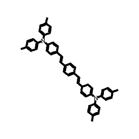 Cc1ccc(N(C2=CCC(/C=C/c3ccc(/C=C/c4ccc(N(c5ccc(C)cc5)c5ccc(C)cc5)cc4)cc3)C=C2)c2ccc(C)cc2)cc1